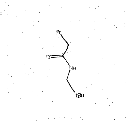 CC(C)CC(=O)NCC(C)(C)C